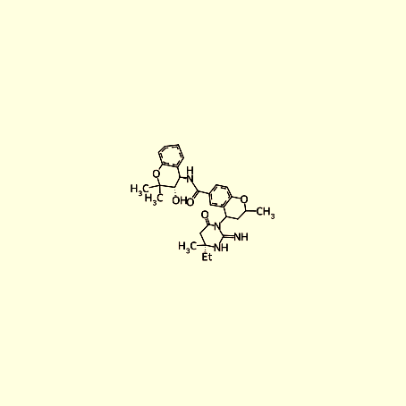 CC[C@]1(C)CC(=O)N(C2CC(C)Oc3ccc(C(=O)N[C@@H]4c5ccccc5OC(C)(C)[C@H]4O)cc32)C(=N)N1